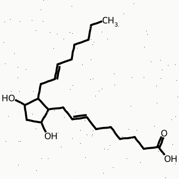 CCCCCC=CCC1C(O)CC(O)C1CC=CCCCCCC(=O)O